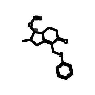 CC1CC2=C(CSc3ccccc3)C(=O)CCC2[C@@H]1OC(C)(C)C